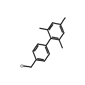 Cc1cc(C)c(-c2ccc(CCl)cc2)c(C)c1